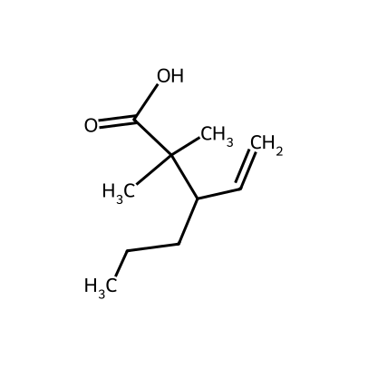 C=CC(CCC)C(C)(C)C(=O)O